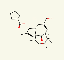 CC1=C[C@]23C(=O)[C@@H](C=C(CO)[C@@H](O)[C@]2(O)[C@H]1OC(=O)C1CCCC1)C(C)(C)[C@@H](C)C[C@H]3C